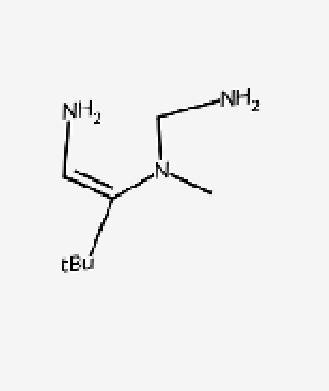 CN(CN)/C(=C\N)C(C)(C)C